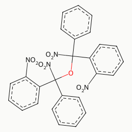 O=[N+]([O-])c1ccccc1C(OC(c1ccccc1)(c1ccccc1[N+](=O)[O-])[N+](=O)[O-])(c1ccccc1)[N+](=O)[O-]